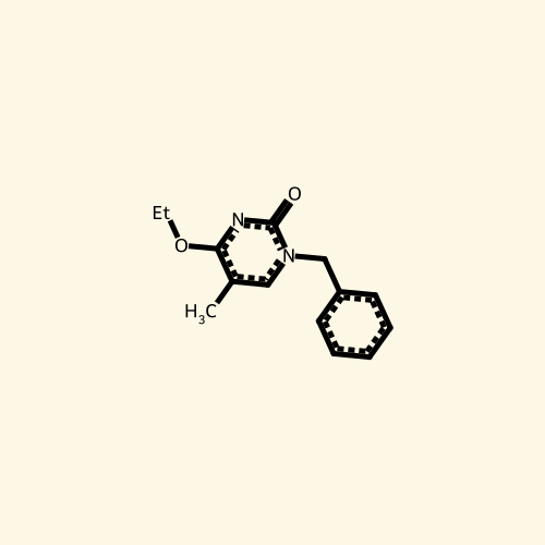 CCOc1nc(=O)n(Cc2ccccc2)cc1C